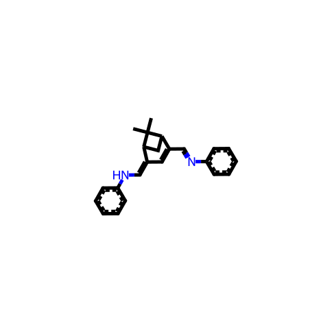 CC1(C)C2CC1/C(=C\Nc1ccccc1)C=C2/C=N/c1ccccc1